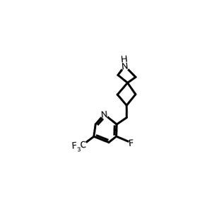 Fc1cc(C(F)(F)F)cnc1CC1CC2(CNC2)C1